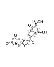 CCn1cc(C(=O)O)c(=O)c2ccc(C(=O)c3ccc(CN(CCCl)CCCl)cc3)cc21